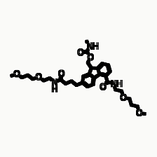 CNC(=O)OCC1c2cc(CCCC(=O)NCCOCCCOC)ccc2-c2c(C(=O)NCCOCCCOC)cccc21